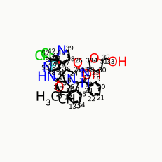 CC1(C)CCC2(CC1)N([C@H](c1ccccc1)[C@@H](O)c1ccccc1)[C@@H](C(=O)N[C@H]1CC[C@H](CO)OC1)[C@H](c1ccnc(Cl)c1F)[C@]21C(=O)Nc2nc(Cl)ccc21